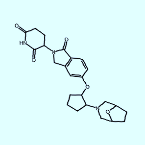 O=C1CCC(N2Cc3cc(OC4CCCC4N4CC5CCC(C4)O5)ccc3C2=O)C(=O)N1